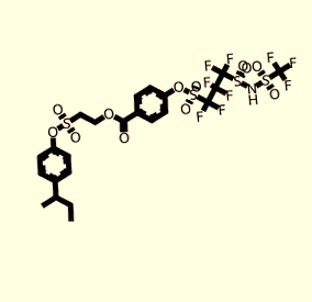 CCC(C)c1ccc(OS(=O)(=O)CCOC(=O)c2ccc(OS(=O)(=O)C(F)(F)C(F)(F)C(F)(F)S(=O)(=O)NS(=O)(=O)C(F)(F)F)cc2)cc1